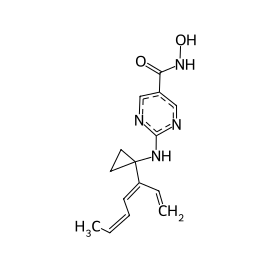 C=C/C(=C\C=C/C)C1(Nc2ncc(C(=O)NO)cn2)CC1